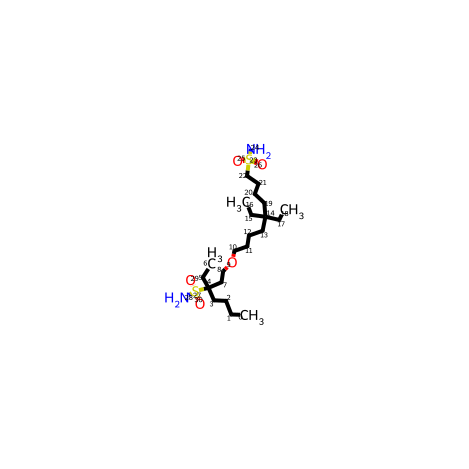 CCCCC(CC)(CCOCCCCC(CC)(CC)CCCCS(N)(=O)=O)S(N)(=O)=O